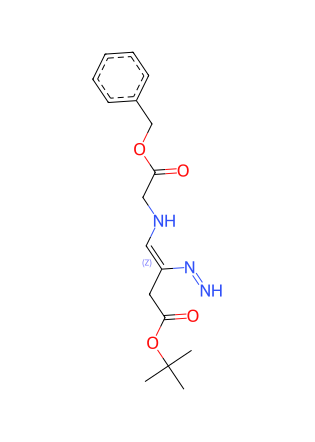 CC(C)(C)OC(=O)C/C(=C/NCC(=O)OCc1ccccc1)N=N